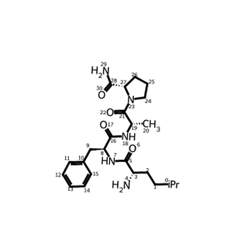 CC(C)CC[C@H](N)C(=O)N[C@@H](Cc1ccccc1)C(=O)N[C@@H](C)C(=O)N1CCC[C@H]1C(N)=O